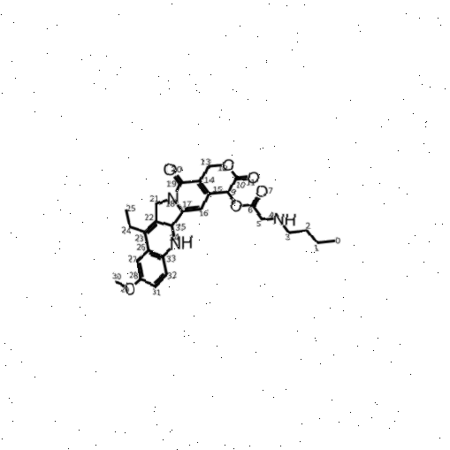 CCCCNCC(=O)OC1C(=O)OCc2c1cc1n(c2=O)CC2=C(CC)c3cc(OC)ccc3NC21